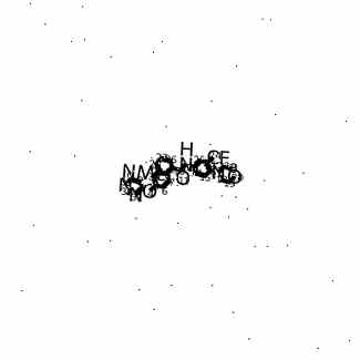 CNc1cc(Oc2ccc3c(C(=O)Nc4ccc(N5CCOCC5)c(C(F)(F)F)c4)cccc3c2)ncn1